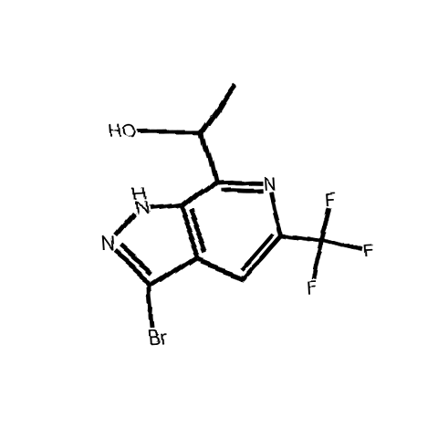 CC(O)c1nc(C(F)(F)F)cc2c(Br)n[nH]c12